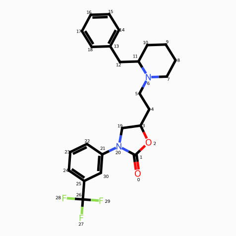 O=C1OC(CCN2CCCCC2Cc2ccccc2)CN1c1cccc(C(F)(F)F)c1